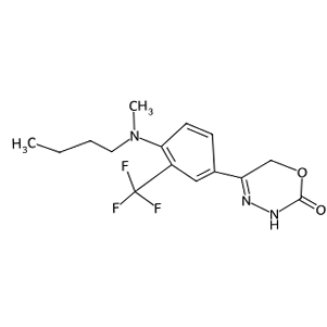 CCCCN(C)c1ccc(C2=NNC(=O)OC2)cc1C(F)(F)F